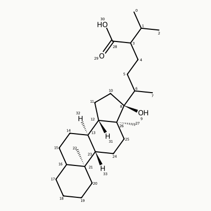 CC(C)C(CCC(C)[C@@]1(O)CC[C@H]2[C@@H]3CCC4CCCC[C@]4(C)[C@H]3CC[C@@]21C)C(=O)O